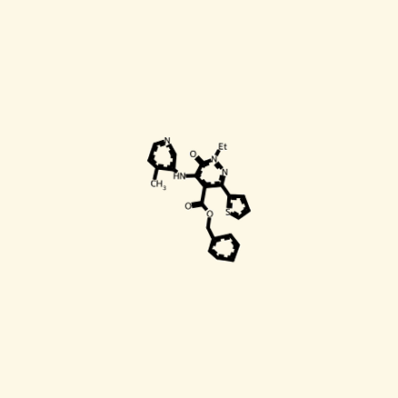 CCn1nc(-c2cccs2)c(C(=O)OCc2ccccc2)c(Nc2cnccc2C)c1=O